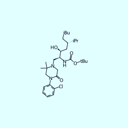 CCC(C)C[C@@H](C[C@H](O)[C@H](CN1CC(=O)N(c2ccccc2Cl)CC1(C)C)NC(=O)OC(C)(C)C)C(C)C